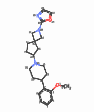 COc1ccccc1C1CCN(C2CCC3(C2)CN(c2ncco2)C3)CC1